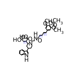 COc1cc(/C=C/C=C/C(=O)NCCN2CCC(c3c[nH]c4ccccc34)CC2/C(=C/C(=O)O)C(=O)O)cc(OC)c1OC(C)=O